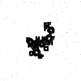 COc1ccc(CN(c2ccncn2)S(=O)(=O)c2cc(Cl)c(NC3C[C@@H](C)[C@H](c4cccc(C(F)(F)F)c4)C[C@@H]3N)cc2F)c(OC)c1